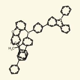 CC1(C)c2cc(-c3ccccc3)ccc2-c2ccc(N(c3ccc(-c4ccc5c(c4)c4ccccc4n5-c4ccccc4)cc3)c3cccc4oc5ccc(-c6ccccc6)cc5c34)cc21